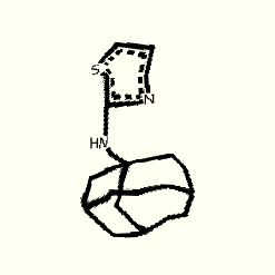 c1csc(NC23CC4CC(CC(C4)C2)C3)n1